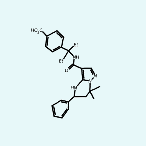 CCC(CC)(NC(=O)c1cnn2c1NC(c1ccccc1)CC2(C)C)c1ccc(C(=O)O)cc1